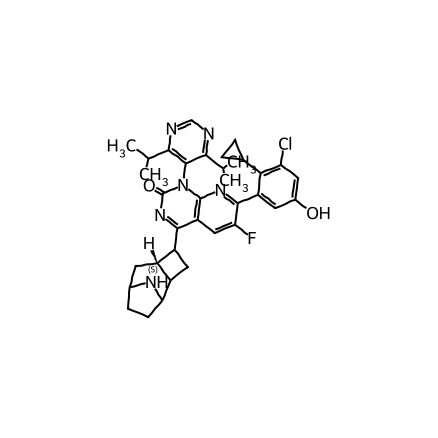 CC(C)c1ncnc(C(C)C)c1-n1c(=O)nc(C2CC3C4CCC(C[C@H]23)N4)c2cc(F)c(-c3cc(O)cc(Cl)c3C3CC3)nc21